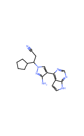 N#CCC(C1CCCC1)n1cc(-c2ncnc3[nH]ccc23)c(N)n1